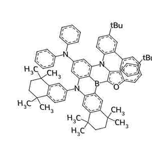 CC(C)(C)c1ccc(N2c3cc(N(c4ccccc4)c4ccccc4)cc4c3B(c3cc5c(cc3N4c3ccc4c(c3)C(C)(C)CCC4(C)C)C(C)(C)CCC5(C)C)c3oc4ccc(C(C)(C)C)cc4c32)c(-c2ccccc2)c1